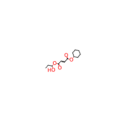 CCC(O)OC(=O)C=CC(=O)OC1CCCCC1